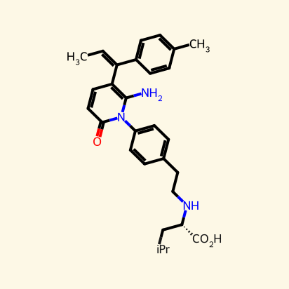 C/C=C(/c1ccc(C)cc1)c1ccc(=O)n(-c2ccc(CCN[C@@H](CC(C)C)C(=O)O)cc2)c1N